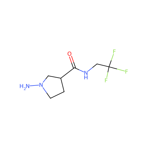 NN1CCC(C(=O)NCC(F)(F)F)C1